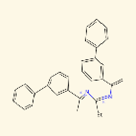 C=C(/N=C(CC)\N=C(/C)c1cccc(-c2ccccc2)c1)c1cccc(-c2ccccc2)c1